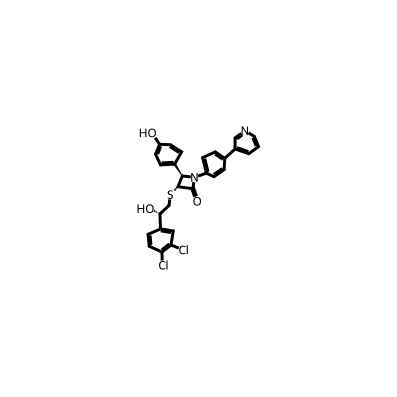 O=C1[C@H](SC[C@@H](O)c2ccc(Cl)c(Cl)c2)[C@@H](c2ccc(O)cc2)N1c1ccc(-c2cccnc2)cc1